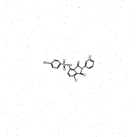 CC(C)(C)c1ccc(S(=O)(=O)Nc2ccc(Cl)c3c2C(=O)N(c2ccc[n+]([O-])c2)C3=O)cc1